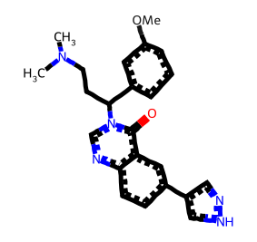 COc1cccc(C(CCN(C)C)n2cnc3ccc(-c4cn[nH]c4)cc3c2=O)c1